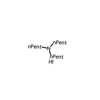 CCCCCN(CCCCC)CCCCC.I